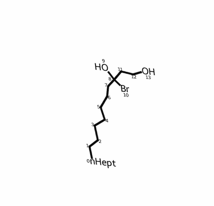 CCCCCCCCCCCCCCC(O)(Br)CCO